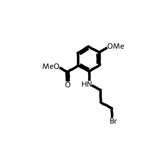 COC(=O)c1ccc(OC)cc1NCCCBr